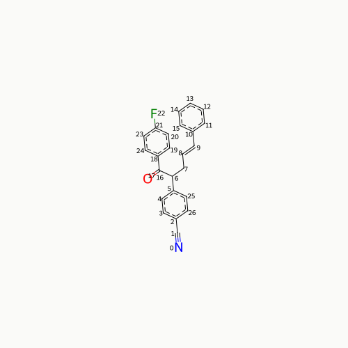 N#Cc1ccc(C(CC=Cc2ccccc2)C(=O)c2ccc(F)cc2)cc1